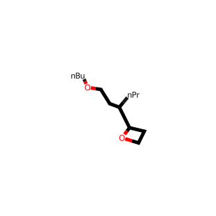 CCCCOCC[C](CCC)C1CCO1